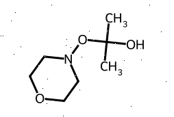 CC(C)(O)ON1CCOCC1